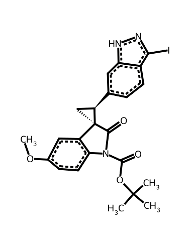 COc1ccc2c(c1)[C@]1(C[C@H]1c1ccc3c(I)n[nH]c3c1)C(=O)N2C(=O)OC(C)(C)C